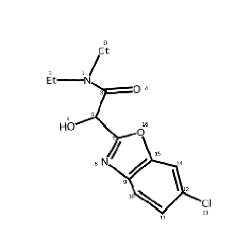 CCN(CC)C(=O)C(O)c1nc2ccc(Cl)cc2o1